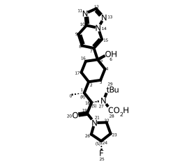 C[C@H](C1CCC(O)(c2ccc3ncnn3c2)CC1)[C@@H](C(=O)N1CC[C@H](F)C1)N(C(=O)O)C(C)(C)C